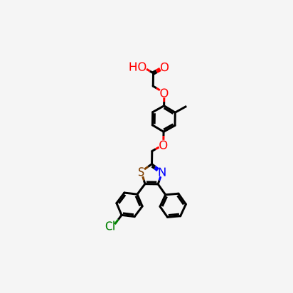 Cc1cc(OCc2nc(-c3ccccc3)c(-c3ccc(Cl)cc3)s2)ccc1OCC(=O)O